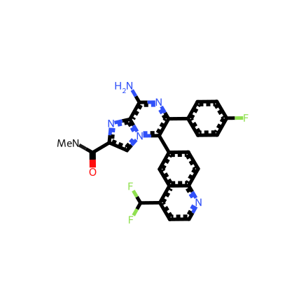 CNC(=O)c1cn2c(-c3ccc4nccc(C(F)F)c4c3)c(-c3ccc(F)cc3)nc(N)c2n1